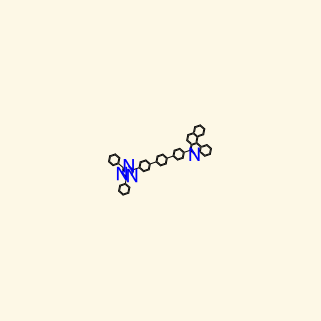 c1ccc(-c2nc(-c3ccccc3)nc(-c3ccc(-c4ccc(-c5ccc(-c6nc7ccccc7c7c6ccc6ccccc67)cc5)cc4)cc3)n2)cc1